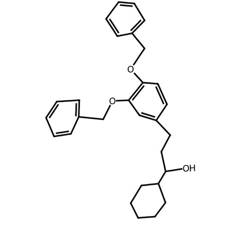 OC(CCc1ccc(OCc2ccccc2)c(OCc2ccccc2)c1)C1CCCCC1